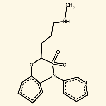 CNCCCC1Oc2ccccc2N(c2cccnc2)S1(=O)=O